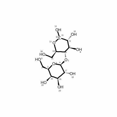 OC[C@H]1O[C@@H](O[C@H]2[C@H](O)[C@@H](O)[11CH](O)O[C@@H]2CO)[C@H](O)[C@@H](O)[C@H]1O